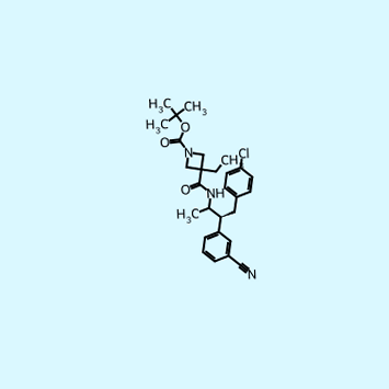 CCC1(C(=O)NC(C)[C@@H](Cc2ccc(Cl)cc2)c2cccc(C#N)c2)CN(C(=O)OC(C)(C)C)C1